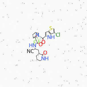 N#CC(CC1CCCNC1=O)NC(=O)C1C2CCC(CC2(F)F)N1C(=O)c1cc2scc(Cl)c2[nH]1